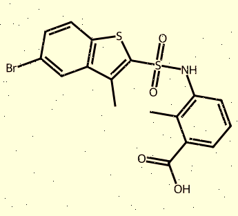 Cc1c(NS(=O)(=O)c2sc3ccc(Br)cc3c2C)cccc1C(=O)O